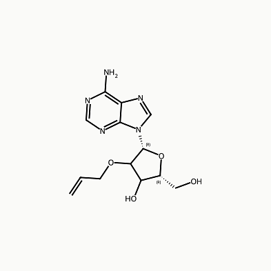 C=CCOC1C(O)[C@@H](CO)O[C@H]1n1cnc2c(N)ncnc21